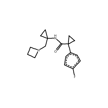 O=C(NC1(CN2CCC2)CC1)C1(c2ccc(F)cc2)CC1